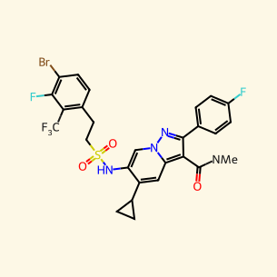 CNC(=O)c1c(-c2ccc(F)cc2)nn2cc(NS(=O)(=O)CCc3ccc(Br)c(F)c3C(F)(F)F)c(C3CC3)cc12